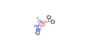 O=C(Nc1cc2ccccn2n1)[C@H]1C[C@@H](F)CN1C(=O)OCC1c2ccccc2-c2ccccc21